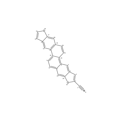 N#Cc1cc2cc3c(ccc4c5cc6ccoc6cc5ccc34)cc2o1